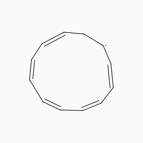 [CH]1C=CC=CC=CC=CC=CC1